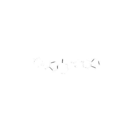 O=C1c2ccc(CN3CCNCC3)cc2OCCN1C[C@H](O)CN1CCc2ccccc2C1